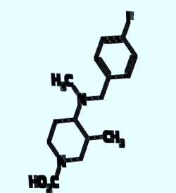 CC1CN(C(=O)O)CCC1N(C)Cc1ccc(F)cc1